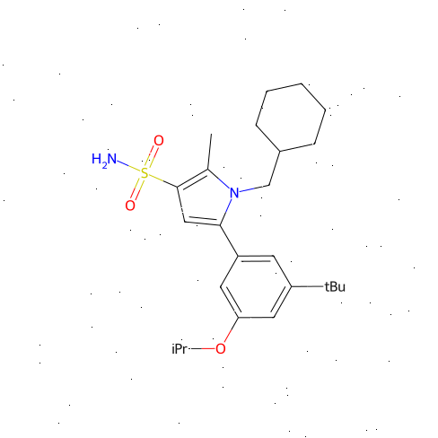 Cc1c(S(N)(=O)=O)cc(-c2cc(OC(C)C)cc(C(C)(C)C)c2)n1CC1CCCCC1